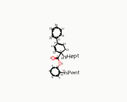 CCCCCCC[C@@]1(C(=O)Oc2ccccc2CCCCC)C=CC(c2ccccc2)=CC1